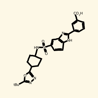 CC(C)(C)c1nnc(C2CCC(NS(=O)(=O)c3ccc4[nH]c(-c5cccc(C(=O)O)c5)nc4c3)CC2)o1